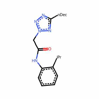 CCCCCCCCCCc1nnn(CC(=O)Nc2ccccc2C(C)C)n1